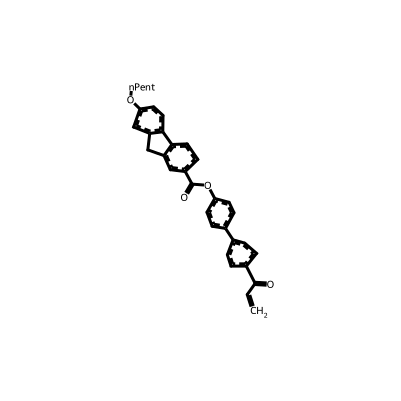 C=CC(=O)c1ccc(-c2ccc(OC(=O)c3ccc4c(c3)Cc3cc(OCCCCC)ccc3-4)cc2)cc1